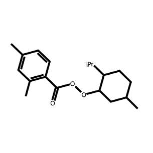 Cc1ccc(C(=O)OO[C]2CC(C)CCC2C(C)C)c(C)c1